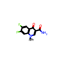 CCCn1cc(C(N)=O)c(=O)c2cc(F)c(F)cc21